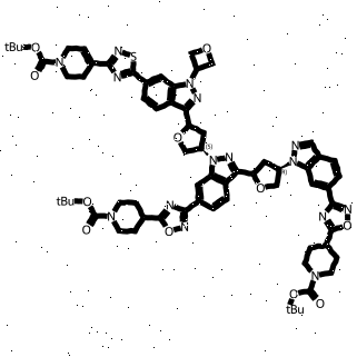 CC(C)(C)OC(=O)N1CC=C(c2nsc(-c3ccc4c(C5C[C@H](n6nc(C7C[C@@H](n8ncc9ccc(-c%10noc(C%11CCN(C(=O)OC(C)(C)C)CC%11)n%10)cc98)CO7)c7ccc(-c8noc(C9CCN(C(=O)OC(C)(C)C)CC9)n8)cc76)CO5)nn(C5COC5)c4c3)n2)CC1